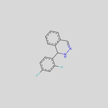 Fc1ccc(C2NN=Cc3ccccc32)c(F)c1